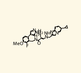 COc1ccc(-c2cn[nH]c2)c(CNC(=O)/C(N)=C/N(N)Cc2cn3cc(C4CC4)ccc3n2)c1F